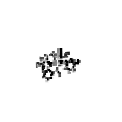 CCc1ccccc1-c1nc(NS(=O)(=O)c2cccc(F)n2)ccc1C(F)(F)F